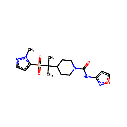 Cn1nccc1S(=O)(=O)C(C)(C)C1CCN(C(=O)Nc2ccon2)CC1